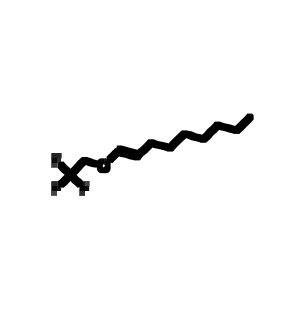 CCCCCCCC=COCC(F)(F)F